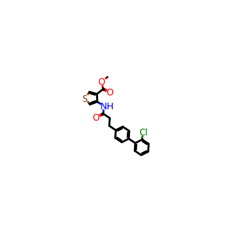 COC(=O)c1cscc1NC(=O)CCc1ccc(-c2ccccc2Cl)cc1